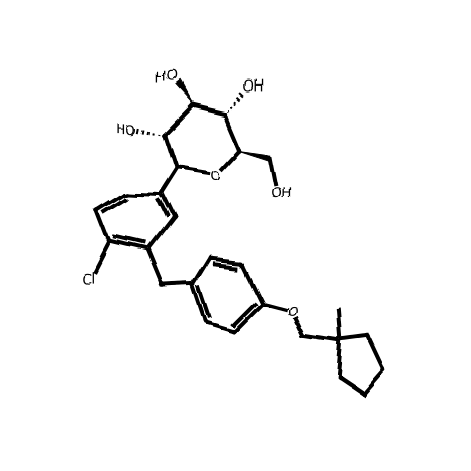 CC1(COc2ccc(Cc3cc(C4O[C@H](CO)[C@@H](O)[C@H](O)[C@H]4O)ccc3Cl)cc2)CCCC1